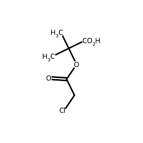 CC(C)(OC(=O)CCl)C(=O)O